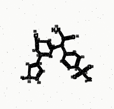 CCS(=O)(=O)c1ccc(C(C(N)=O)c2cc(Cl)cc(-c3cnn(C)c3)c2)cc1